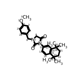 COc1ccc(CN2CC(=O)N(c3ccc4c(c3)C(C)(C)CCC4(C)C)C2=O)cc1